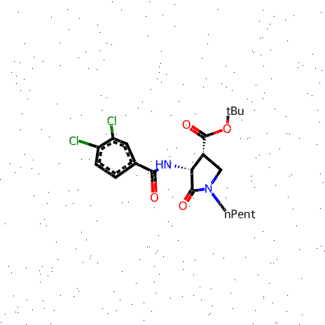 CCCCCN1C[C@@H](C(=O)OC(C)(C)C)[C@@H](NC(=O)c2ccc(Cl)c(Cl)c2)C1=O